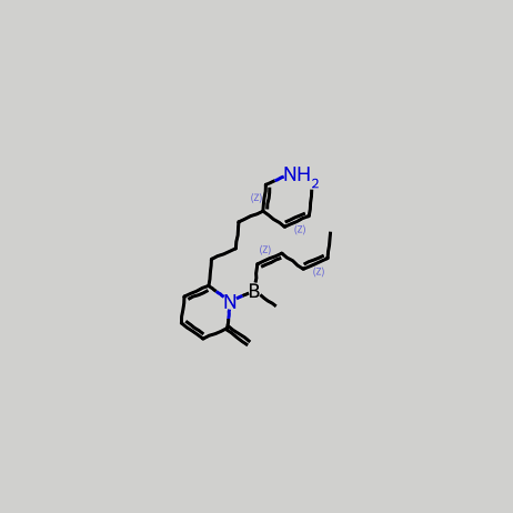 C=C1C=CC=C(CCCC(/C=C\C)=C/N)N1B(C)/C=C\C=C/C